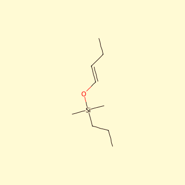 CCC=CO[Si](C)(C)CCC